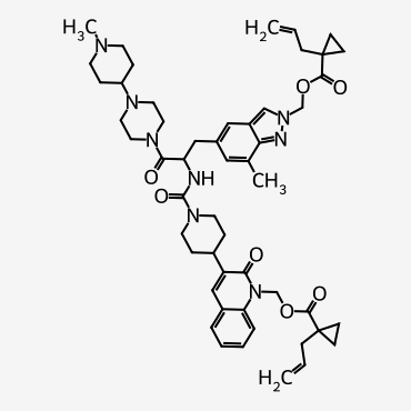 C=CCC1(C(=O)OCn2cc3cc(CC(NC(=O)N4CCC(c5cc6ccccc6n(COC(=O)C6(CC=C)CC6)c5=O)CC4)C(=O)N4CCN(C5CCN(C)CC5)CC4)cc(C)c3n2)CC1